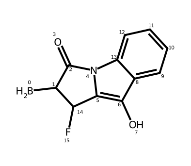 BC1C(=O)n2c(c(O)c3ccccc32)C1F